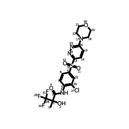 CC(O)(C(=O)Nc1ccc(S(=O)(=O)c2ccc(N3CCOCC3)nn2)cc1Cl)C(F)(F)F